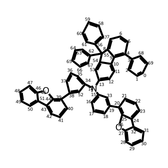 c1ccc(-c2cccc3c2-c2ccc(N(c4cccc(-c5cccc6c5oc5ccccc56)c4)c4cccc(-c5cccc6c5oc5ccccc56)c4)cc2C3(c2ccccc2)c2ccccc2)cc1